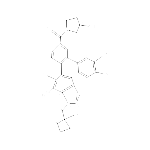 N#Cc1ccc(-c2cc(C(=O)N3CCC(N)C3)ccc2-c2cc3nnn(CC4(O)CCC4)c3c(C#N)c2F)cc1F